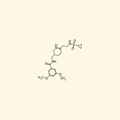 COc1cc(OC)cc(C(=O)NCC2CCN(CCNS(=O)(=O)C3CC3)NC2)c1